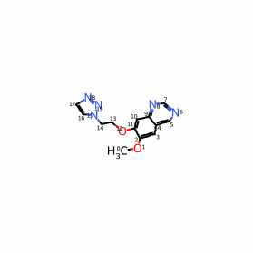 COc1cc2cncnc2cc1OCCn1ccnn1